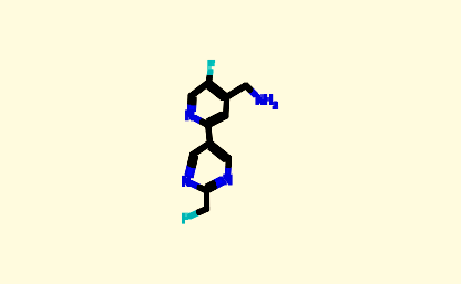 NCc1cc(-c2cnc(CF)nc2)ncc1F